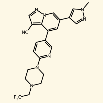 Cn1cc(-c2cc(-c3ccc(N4CCN(CC(F)(F)F)CC4)nc3)c3c(C#N)cnn3c2)cn1